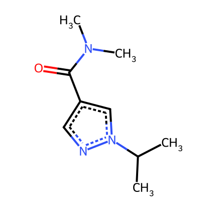 CC(C)n1cc(C(=O)N(C)C)cn1